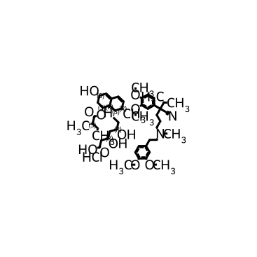 CC[C@H](C)C(=O)O[C@H]1C[C@H](O)C=C2C=C[C@H](C)[C@H](CC[C@@H](O)C[C@@H](O)CC(=O)O)[C@H]21.COc1ccc(CCN(C)CCCC(C#N)(c2ccc(OC)c(OC)c2)C(C)C)cc1OC.Cl